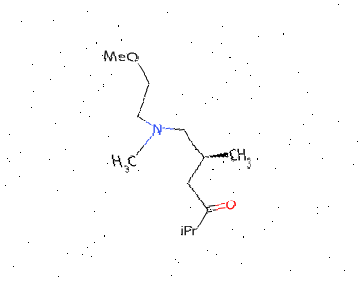 COCCN(C)C[C@@H](C)CC(=O)C(C)C